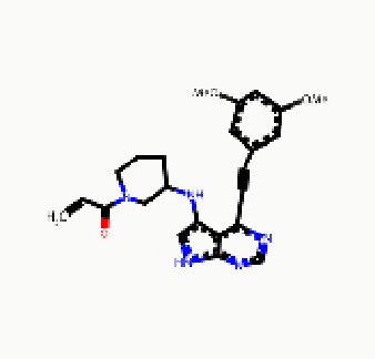 C=CC(=O)N1CCCC(Nc2c[nH]c3ncnc(C#Cc4cc(OC)cc(OC)c4)c23)C1